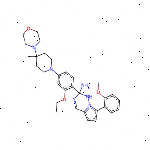 CCOc1cc(N2CCC(C)(N3CCOCC3)CC2)ccc1C1(N)N=Cc2ccc(-c3ccccc3OC)n2N1